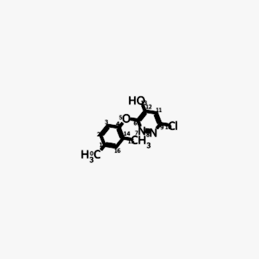 Cc1ccc(Oc2nnc(Cl)cc2O)c(C)c1